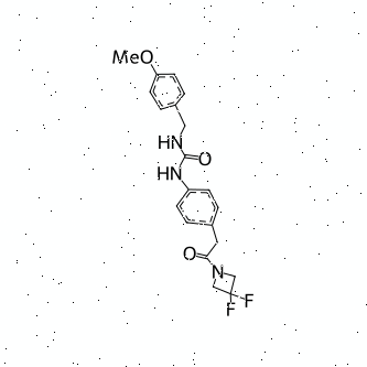 COc1ccc(CNC(=O)Nc2ccc(CC(=O)N3CC(F)(F)C3)cc2)cc1